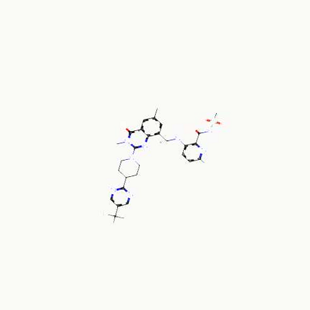 Cc1cc([C@@H](C)Nc2ccc(Cl)nc2C(=O)NS(C)(=O)=O)c2nc(N3CCC(c4ncc(C(F)(F)F)cn4)CC3)n(C)c(=O)c2c1